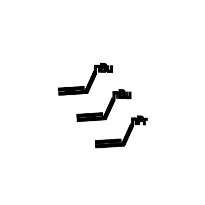 C=CCCC.C=CCCCC.C=CCCCC